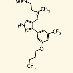 CNCCN(C)Cc1c[nH]nc1-c1cc(OCCCC(F)(F)F)cc(C(F)(F)F)c1